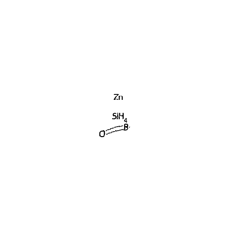 [B]=O.[SiH4].[Zn]